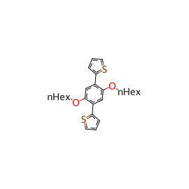 CCCCCCOc1cc(-c2cccs2)c(OCCCCCC)cc1-c1cccs1